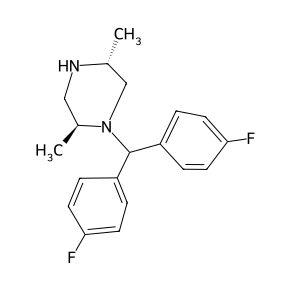 C[C@@H]1CN(C(c2ccc(F)cc2)c2ccc(F)cc2)[C@@H](C)CN1